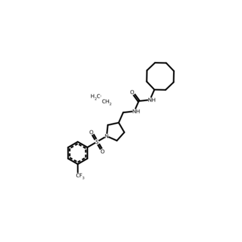 O=C(NCC1CCN(S(=O)(=O)c2cccc(C(F)(F)F)c2)C1)N[C]1CCCCCCC1.[CH2].[CH2]